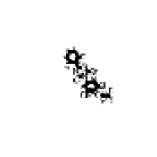 O=c1nc(-c2c(F)cccc2F)oc(=O)n1-c1cc(Cl)c(OC(F)(F)C(F)F)c(Cl)c1